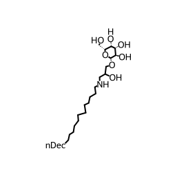 CCCCCCCCCCCCCCCCCCCCCCNCC(O)CO[C@@H]1O[C@H](CO)[C@H](O)[C@H](O)[C@H]1O